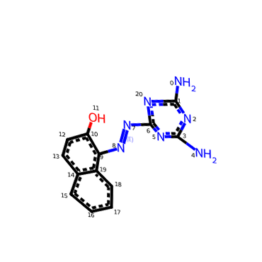 Nc1nc(N)nc(/N=N/c2c(O)ccc3ccccc23)n1